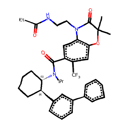 CCC(=O)NCCN1C(=O)C(C)(C)Oc2cc(C(F)(F)F)c(C(=O)N(C(C)C)[C@H]3CCCC[C@@H]3c3cccc(-c4ccccc4)c3)cc21